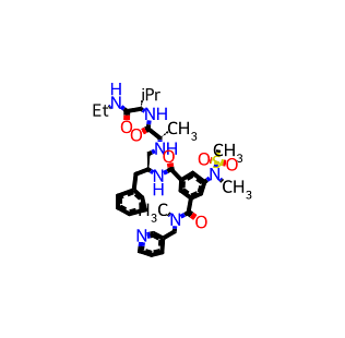 CCNC(=O)[C@@H](NC(=O)[C@H](C)NC[C@H](Cc1ccccc1)NC(=O)c1cc(C(=O)N(C)Cc2cccnc2)cc(N(C)S(C)(=O)=O)c1)C(C)C